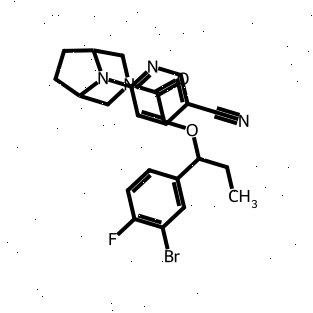 CCC(OCC(=O)N1CC2CCC(C1)N2c1ccc(C#N)cn1)c1ccc(F)c(Br)c1